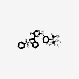 CC(C)(C)N(C(=O)O)C1CCC[C@@H](Nc2ncc(F)c(-c3cn(S(=O)(=O)c4ccccc4)c4ccccc34)n2)C1